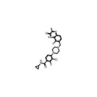 Cc1nc2ccc(CN3CCN(c4ccc(C(=O)NC5CC5)c(F)c4Cl)CC3)c(F)c2[nH]c1=O